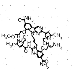 CCn1nc(C)cc1C(=O)Nc1nc2cc(C(N)=O)cc(OCCCN)c2n1CC=CCn1c2nc(-c3cc(C)nn3CC)ncc2c2cc(C(N)=O)cc(OCCCOC)c21